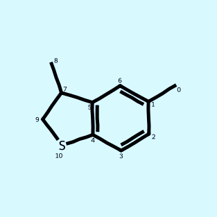 Cc1ccc2c(c1)C(C)CS2